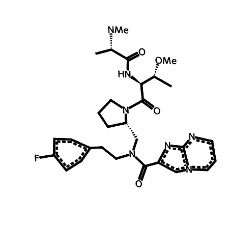 CN[C@@H](C)C(=O)N[C@H](C(=O)N1CCC[C@H]1CN(CCc1ccc(F)cc1)C(=O)c1cn2cccnc2n1)[C@@H](C)OC